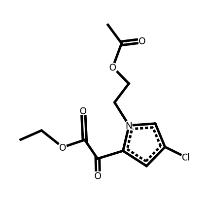 CCOC(=O)C(=O)c1cc(Cl)cn1CCOC(C)=O